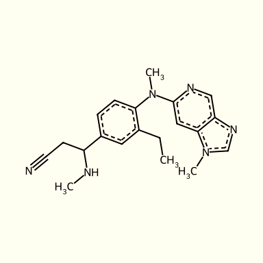 CCc1cc(C(CC#N)NC)ccc1N(C)c1cc2c(cn1)ncn2C